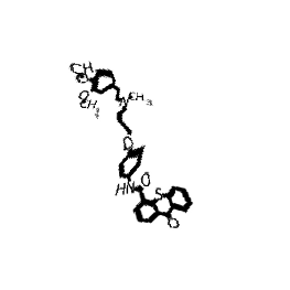 COc1ccc(CCN(C)CCCOc2ccc(NC(=O)c3cccc4c(=O)c5ccccc5sc34)cc2)cc1OC